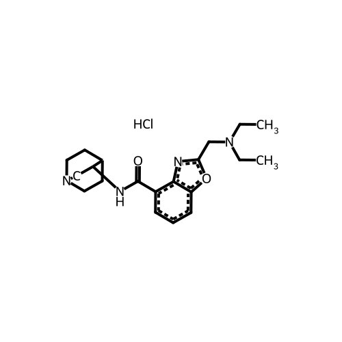 CCN(CC)Cc1nc2c(C(=O)NC3CN4CCC3CC4)cccc2o1.Cl